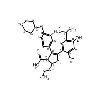 CCNC1OC(c2cc(C(C)C)c(O)cc2O)=C(c2ccc(CN3CCOCC3)cc2)N1C(=O)O